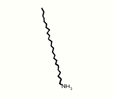 CCCCCCCCCCCCCCCCCCC=CCCCCCN